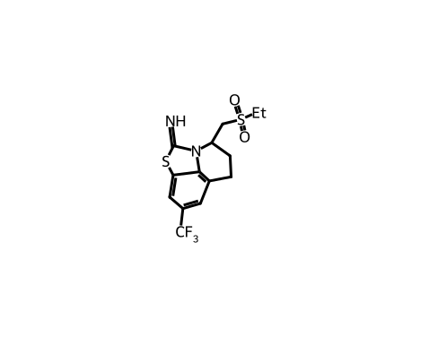 CCS(=O)(=O)CC1CCc2cc(C(F)(F)F)cc3sc(=N)n1c23